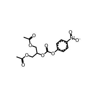 CC(=O)OCC(COC(C)=O)OC(=O)Oc1ccc([N+](=O)[O-])cc1